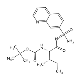 CC[C@H](C)[C@H](NC(=O)OC(C)(C)C)C(=O)N=S(N)(=O)c1ccc2cccnc2c1